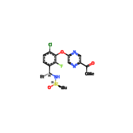 CC[C@@H](N[S@+]([O-])C(C)(C)C)c1ccc(Cl)c(Oc2cnc(C(=O)OC)cn2)c1F